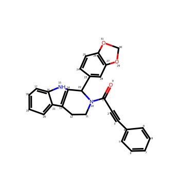 O=C(C#Cc1ccccc1)N1CCc2c([nH]c3ccccc23)C1c1ccc2c(c1)OCO2